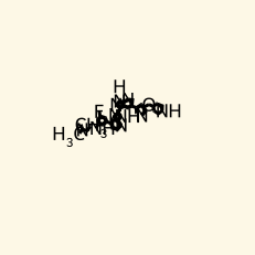 CN(C)CCNc1cc(F)cc(-c2ccnc3[nH]c(-c4n[nH]c5ncc(-c6cncc(OC7CCNCC7)c6)cc45)nc23)c1